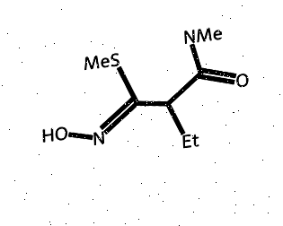 CCC(C(=O)NC)C(=NO)SC